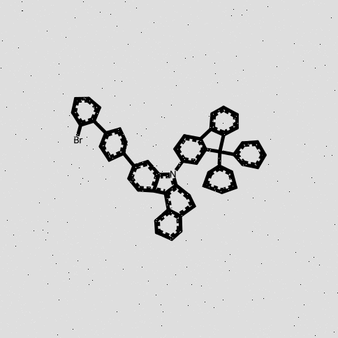 Brc1ccccc1-c1ccc(-c2ccc3c4c5ccccc5ccc4n(-c4ccc5c(c4)C(c4ccccc4)(c4ccccc4)c4ccccc4-5)c3c2)cc1